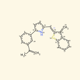 C=C(C)c1cccc(-c2ccc(/C=c3\sc4ccccc4c3=C)[nH]2)c1